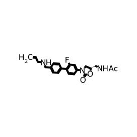 C=CCNCc1ccc(-c2ccc(N3C[C@H](CNC(C)=O)OC3=O)cc2F)cc1